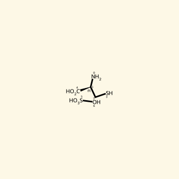 N[C@@H](CS)C(=O)O.O=S(=O)(O)O